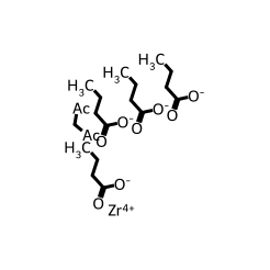 CC(=O)CC(C)=O.CCCC(=O)[O-].CCCC(=O)[O-].CCCC(=O)[O-].CCCC(=O)[O-].[Zr+4]